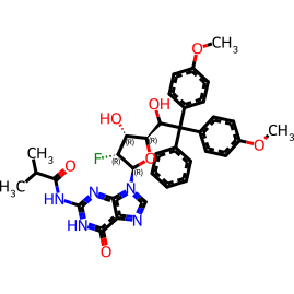 COc1ccc(C(c2ccccc2)(c2ccc(OC)cc2)C(O)[C@H]2O[C@@H](n3cnc4c(=O)[nH]c(NC(=O)C(C)C)nc43)[C@H](F)[C@@H]2O)cc1